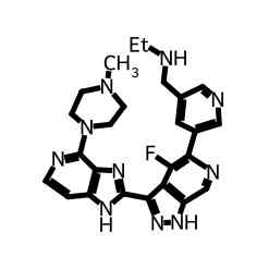 CCNCc1cncc(-c2ncc3[nH]nc(-c4nc5c(N6CCN(C)CC6)nccc5[nH]4)c3c2F)c1